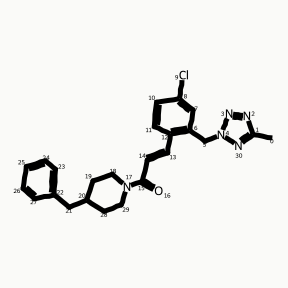 Cc1nnn(Cc2cc(Cl)ccc2C=CC(=O)N2CCC(Cc3ccccc3)CC2)n1